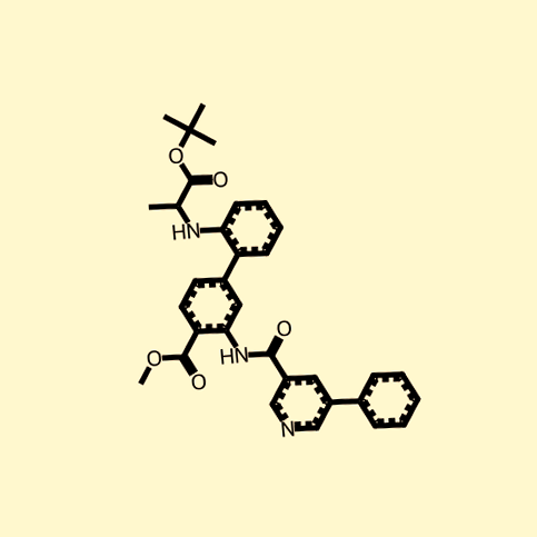 COC(=O)c1ccc(-c2ccccc2NC(C)C(=O)OC(C)(C)C)cc1NC(=O)c1cncc(-c2ccccc2)c1